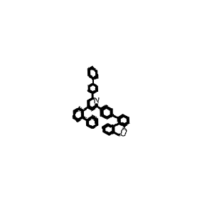 c1ccc(-c2ccc(-c3cc(-c4ccccc4-c4ccccc4)cc(-c4ccc(-c5cccc6c5-c5ccccc5CO6)cc4)n3)cc2)cc1